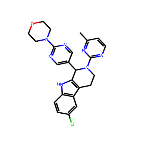 Cc1ccnc(N2CCc3c([nH]c4ccc(Cl)cc34)C2c2cnc(N3CCOCC3)nc2)n1